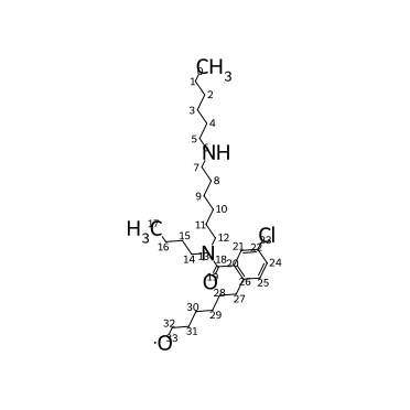 CCCCCCNCCCCCCN(CCCC)C(=O)c1cc(Cl)ccc1CCCCCC[O]